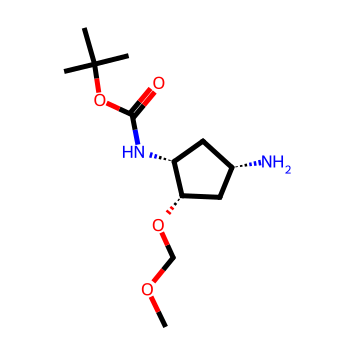 COCO[C@H]1C[C@@H](N)C[C@H]1NC(=O)OC(C)(C)C